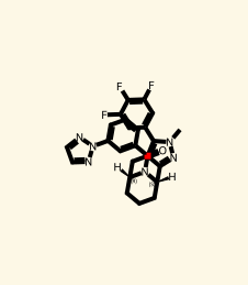 Cn1nc2c(c1-c1cc(F)c(F)c(F)c1)C[C@H]1CCC[C@@H]2N1C(=O)c1cccc(-n2nccn2)c1